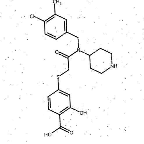 Cc1cc(CN(C(=O)CSc2ccc(C(=O)O)c(O)c2)C2CCNCC2)ccc1Cl